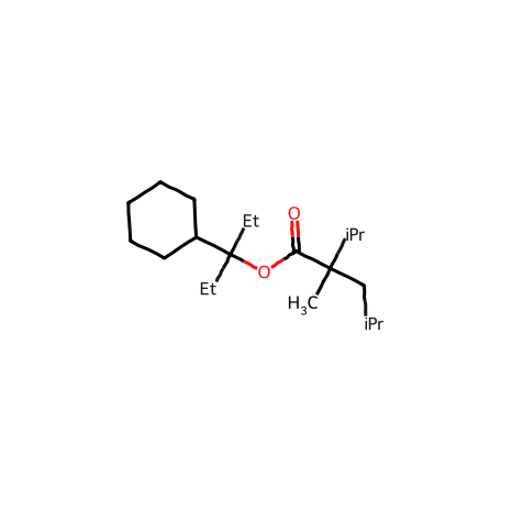 CCC(CC)(OC(=O)C(C)(CC(C)C)C(C)C)C1CCCCC1